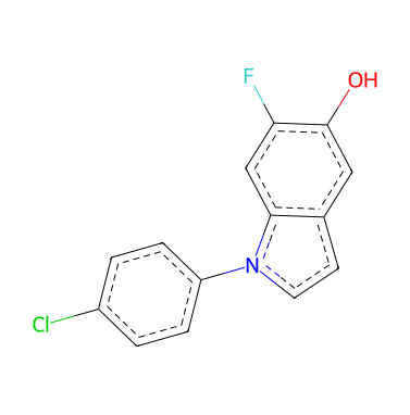 Oc1cc2ccn(-c3ccc(Cl)cc3)c2cc1F